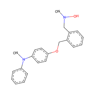 O=NN(O)Cc1ccccc1COc1ccc(N(N=O)c2ccccc2)cc1